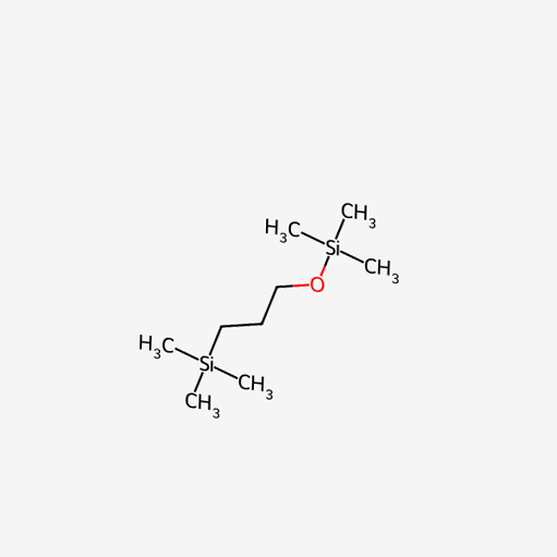 C[Si](C)(C)CCCO[Si](C)(C)C